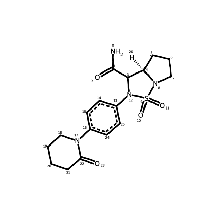 NC(=O)C1[C@H]2[CH]CCN2S(=O)(=O)N1c1ccc(N2CCCCC2=O)cc1